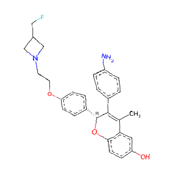 CC1=C(c2ccc(N)cc2)[C@@H](c2ccc(OCCN3CC(CF)C3)cc2)Oc2ccc(O)cc21